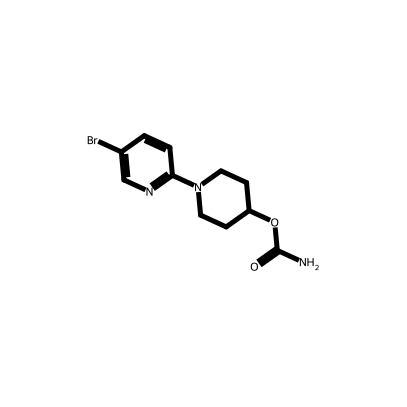 NC(=O)OC1CCN(c2ccc(Br)cn2)CC1